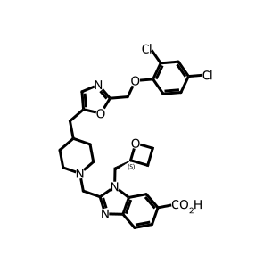 O=C(O)c1ccc2nc(CN3CCC(Cc4cnc(COc5ccc(Cl)cc5Cl)o4)CC3)n(C[C@@H]3CCO3)c2c1